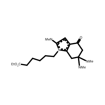 CCOC(=O)CCCCCn1c(NC)cc2c1CC(NC)(NC)CC2=O